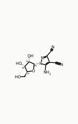 N#Cc1nn([C@@H]2O[C@@H](CO)[C@H](O)[C@@H]2O)c(N)c1C#N